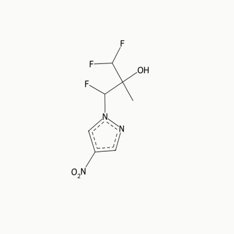 CC(O)(C(F)F)C(F)n1cc([N+](=O)[O-])cn1